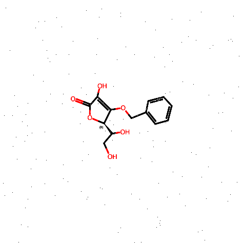 O=C1O[C@H](C(O)CO)C(OCc2ccccc2)=C1O